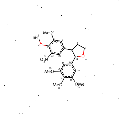 CCCOc1c(OC)cc(C2CCOC2c2cc(OC)c(OC)c(OC)c2)cc1[N+](=O)[O-]